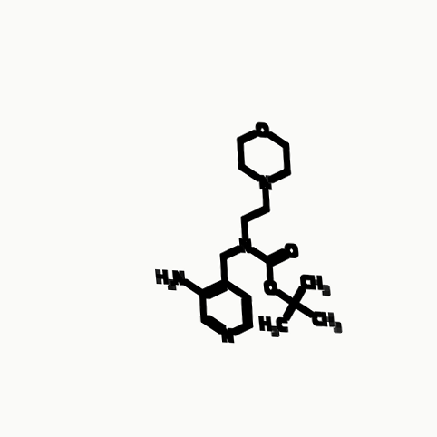 CC(C)(C)OC(=O)N(CCN1CCOCC1)Cc1ccncc1N